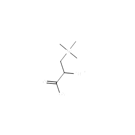 CCCC(=O)C(O)C[N+](C)(C)C.[I-]